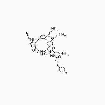 C[C@@H]1NC(=O)[C@@H](N(C)C(=O)[C@H](CCN)NC(=O)CCCc2ccc(F)cc2)c2ccc(OCCN)c(c2)-c2cc(ccc2OCCN)C[C@@H](C(=O)NCC#N)NC1=O